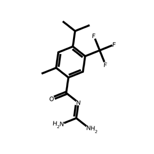 Cc1cc(C(C)C)c(C(F)(F)F)cc1C(=O)N=C(N)N